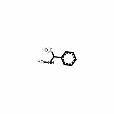 O=C(O)C(NO)c1ccccc1